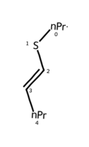 CC[CH]S/C=C/CCC